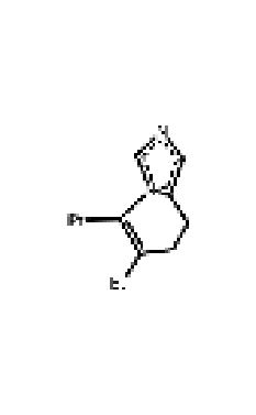 CCC1=C(C(C)C)n2cncc2CC1